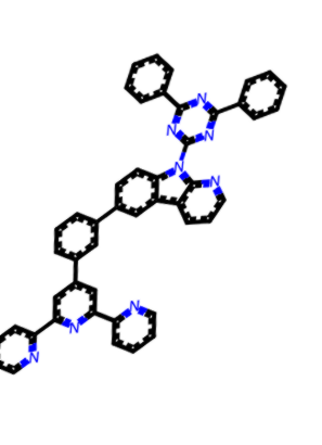 c1ccc(-c2nc(-c3ccccc3)nc(-n3c4ccc(-c5cccc(-c6cc(-c7ccccn7)nc(-c7ccccn7)c6)c5)cc4c4cccnc43)n2)cc1